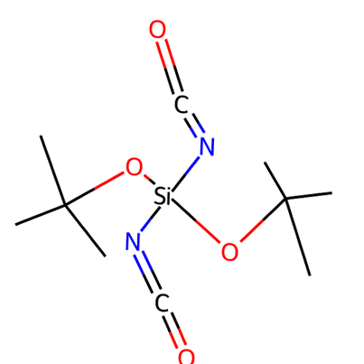 CC(C)(C)O[Si](N=C=O)(N=C=O)OC(C)(C)C